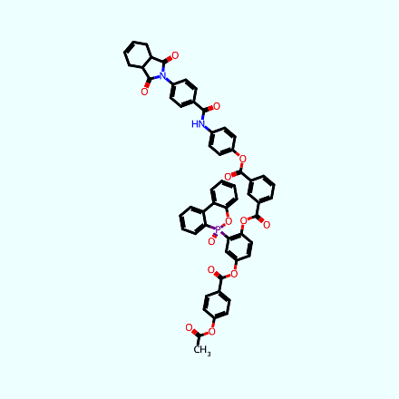 CC(=O)Oc1ccc(C(=O)Oc2ccc(OC(=O)c3cccc(C(=O)Oc4ccc(NC(=O)c5ccc(N6C(=O)C7CC=CCC7C6=O)cc5)cc4)c3)c(P3(=O)Oc4ccccc4-c4ccccc43)c2)cc1